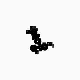 Cc1ccc2nc(-c3ccccc3Cl)n(C3CCN(S(=O)(=O)c4ccc(C)c(Cl)c4)CC3)c2n1